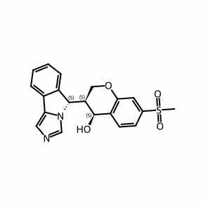 CS(=O)(=O)c1ccc2c(c1)OC[C@H]([C@H]1c3ccccc3-c3cncn31)[C@@H]2O